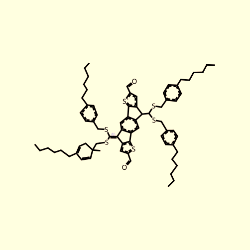 CCCCCCC1=CCC(C)(CS/C(SCc2ccc(CCCCCC)cc2)=C2/c3cc4c(cc3-c3sc(C=O)cc32)C(C(SCc2ccc(CCCCCC)cc2)SCc2ccc(CCCCCC)cc2)c2cc(C=O)sc2-4)C=C1